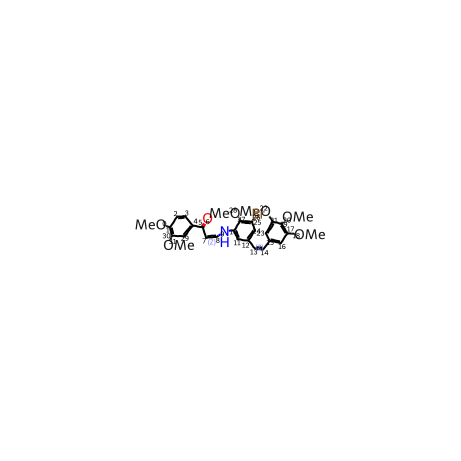 COc1ccc(C(=O)/C=C\Nc2cc(/C=C\c3cc(OC)c(OC)c(OC)c3)cc(Br)c2OC)cc1OC